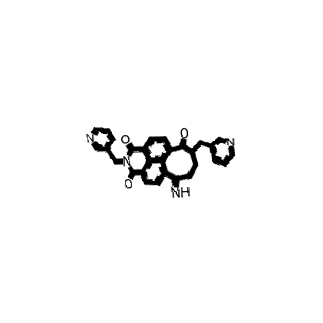 N=C1CCC(Cc2cccnc2)C(=O)c2ccc3c4c(ccc1c24)C(=O)N(Cc1cccnc1)C3=O